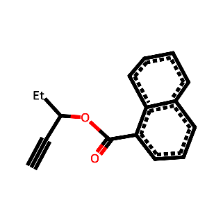 C#CC(CC)OC(=O)c1cccc2ccccc12